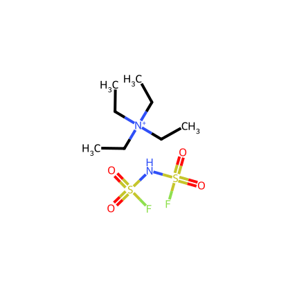 CC[N+](CC)(CC)CC.O=S(=O)(F)NS(=O)(=O)F